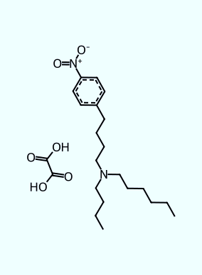 CCCCCCN(CCCC)CCCCc1ccc([N+](=O)[O-])cc1.O=C(O)C(=O)O